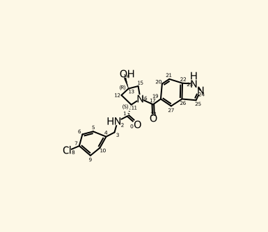 O=C(NCc1ccc(Cl)cc1)[C@@H]1C[C@@H](O)CN1C(=O)c1ccc2[nH]ncc2c1